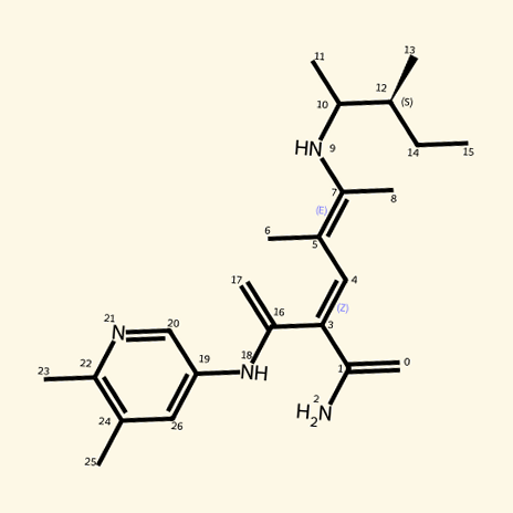 C=C(N)/C(=C/C(C)=C(\C)NC(C)[C@@H](C)CC)C(=C)Nc1cnc(C)c(C)c1